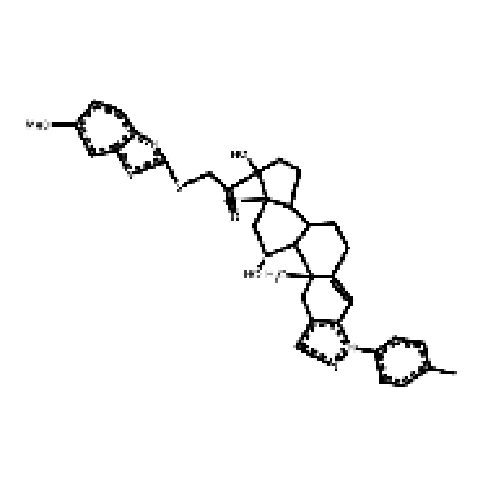 COc1ccc2nc(SCC(=O)C3(O)CCC4C5CCC6=Cc7c(cnn7-c7ccc(F)cc7)CC6(C)C5[C@@H](O)CC43C)sc2c1